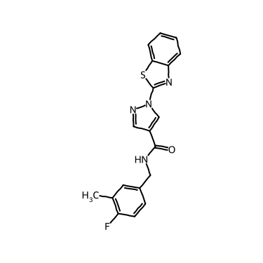 Cc1cc(CNC(=O)c2cnn(-c3nc4ccccc4s3)c2)ccc1F